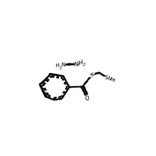 CSSC(=O)c1ccccc1.NN